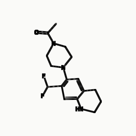 CC(=O)N1CCN(c2cc3c(cc2C(F)F)NCCC3)CC1